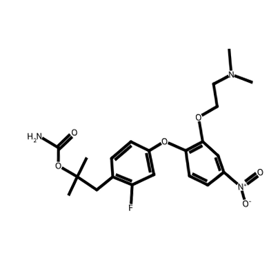 CN(C)CCOc1cc([N+](=O)[O-])ccc1Oc1ccc(CC(C)(C)OC(N)=O)c(F)c1